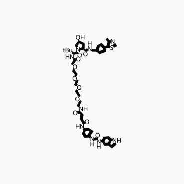 Cc1ncsc1-c1ccc(CNC(=O)[C@@H]2C[C@@H](O)CN2C(=O)[C@@H](NC(=O)COCCOCCOCCOCCNC(=O)/C=C/C(=O)Nc2ccc(NC(=O)Nc3ccc4[nH]ccc4c3)cc2)C(C)(C)C)cc1